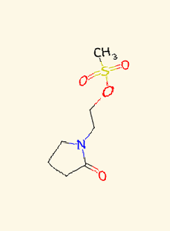 CS(=O)(=O)OCCN1CCCC1=O